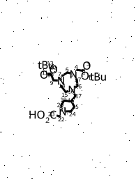 CC(C)(C)OC(=O)CN1CCN(CC(=O)OC(C)(C)C)CCN(CC2CCN(CC(=O)O)CC2)CC1